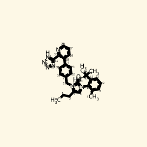 CCCc1cn(-c2c(C)cccc2C(C)(C)C)c(=O)n1Cc1ccc(-c2cccnc2-c2nnn[nH]2)cc1